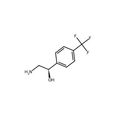 NC[C@H](O)c1ccc(C(F)(F)F)cc1